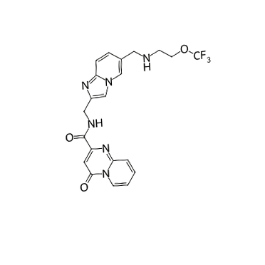 O=C(NCc1cn2cc(CNCCOC(F)(F)F)ccc2n1)c1cc(=O)n2ccccc2n1